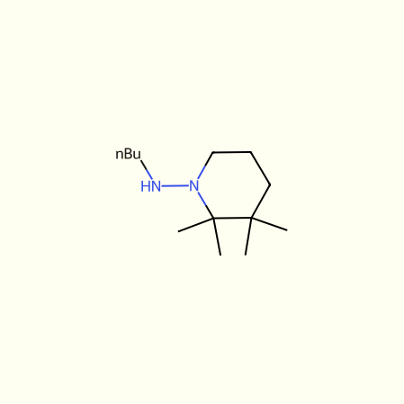 CCCCNN1CCCC(C)(C)C1(C)C